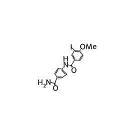 COc1ccc(C(=O)Nc2ccc(C(N)=O)cc2)cc1I